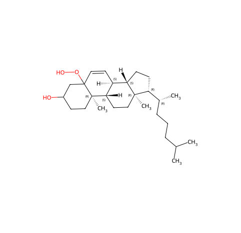 CC(C)CCC[C@@H](C)[C@H]1CC[C@H]2[C@@H]3C=CC4(OO)CC(O)CC[C@]4(C)[C@H]3CC[C@]12C